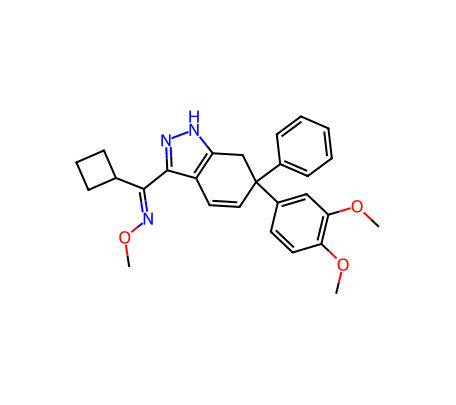 CON=C(c1n[nH]c2c1C=CC(c1ccccc1)(c1ccc(OC)c(OC)c1)C2)C1CCC1